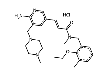 CCOc1c(C)cccc1CN(C)C(=O)C=Cc1cnc(N)c(CN2CCN(C)CC2)c1.Cl